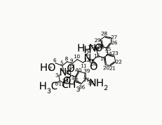 CC(C)CN(C(CO)CCCCNC(=O)C(C(N)=O)c1ccccc1-c1ccccc1)S(=O)(=O)c1ccc(N)cc1